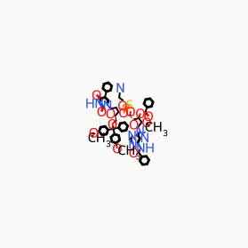 COc1ccc(C(OC[C@H]2O[C@@H](n3cc(-c4ccccc4)c(=O)[nH]c3=O)CC2OP(=S)(OCCC#N)OC[C@H]2O[C@@H](n3cnc4c(NC(=O)c5ccccc5)ncnc43)C(OC)C2OC(=O)c2ccccc2)(c2ccccc2)c2ccc(OC)cc2)cc1